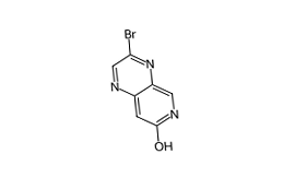 Oc1cc2ncc(Br)nc2cn1